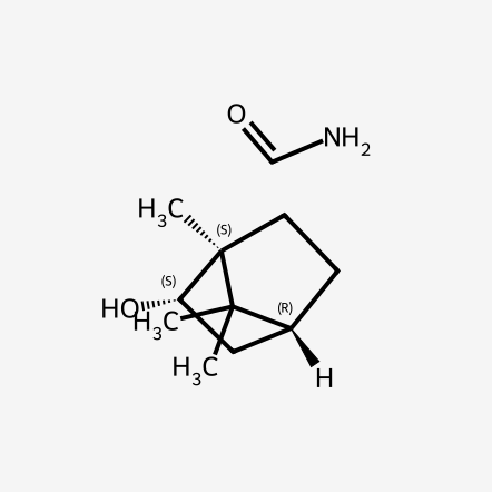 CC1(C)[C@@H]2CC[C@]1(C)[C@@H](O)C2.NC=O